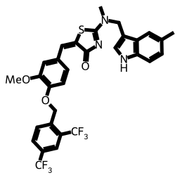 COc1cc(/C=C2/SC(N(C)Cc3c[nH]c4ccc(C)cc34)=NC2=O)ccc1OCc1ccc(C(F)(F)F)cc1C(F)(F)F